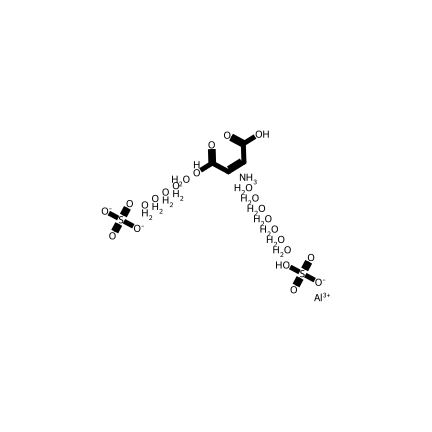 N.O.O.O.O.O.O.O.O.O.O.O.O.O=C(O)/C=C\C(=O)O.O=S(=O)([O-])O.O=S(=O)([O-])[O-].[Al+3]